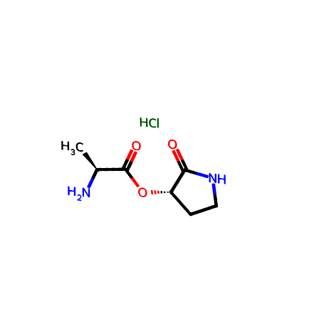 C[C@H](N)C(=O)O[C@H]1CCNC1=O.Cl